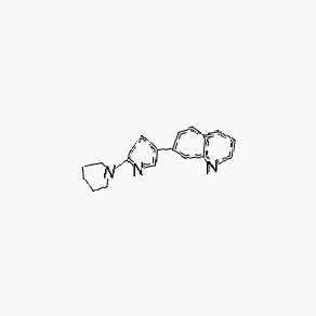 c1cnc2cc(-c3ccc(N4CCCCC4)nc3)ccc2c1